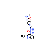 CCNC(=O)NC1CCN(CCNC(=O)Nc2cc(C)nc3ccccc23)CC1